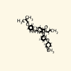 C=CCn1c(=O)c2cnc(Nc3ccc(OCC(C)C)cc3)nc2n1-c1cccc(OC2CCN(C)CC2)n1